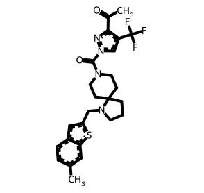 CC(=O)c1nn(C(=O)N2CCC3(CCCN3Cc3cc4ccc(C)cc4s3)CC2)cc1C(F)(F)F